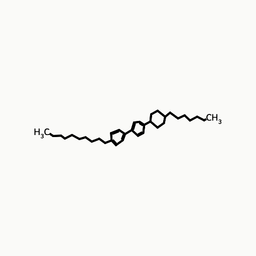 CCCCCCCCCCc1ccc(-c2ccc(C3CCC(CCCCCCC)CC3)cc2)cc1